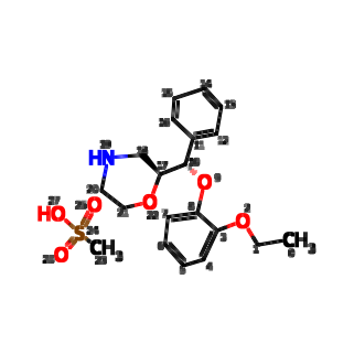 CCOc1ccccc1O[C@@H](c1ccccc1)[C@@H]1CNCCO1.CS(=O)(=O)O